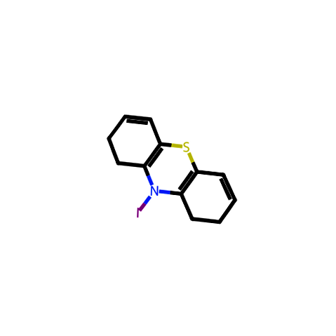 IN1C2=C(C=CCC2)SC2=C1CCC=C2